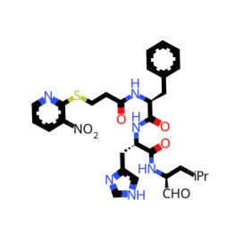 CC(C)C[C@@H](C=O)NC(=O)[C@H](Cc1c[nH]cn1)NC(=O)[C@H](Cc1ccccc1)NC(=O)CCSc1ncccc1[N+](=O)[O-]